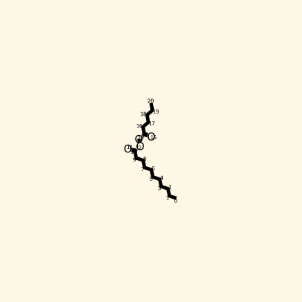 CCCCCCCCCCC(=O)OOC(=O)CCCCC